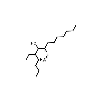 CCCCCCCC(ON)C(O)C(CC)CCCC